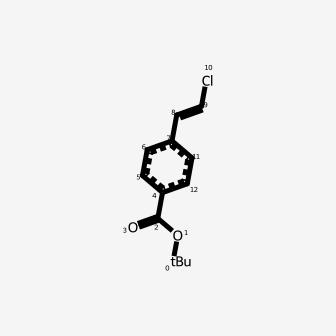 CC(C)(C)OC(=O)c1ccc(C=CCl)cc1